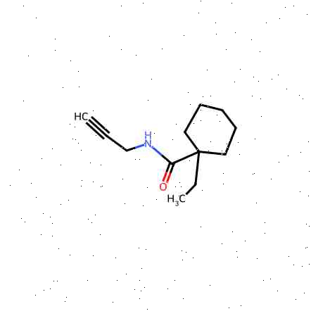 C#CCNC(=O)C1(CC)CCCCC1